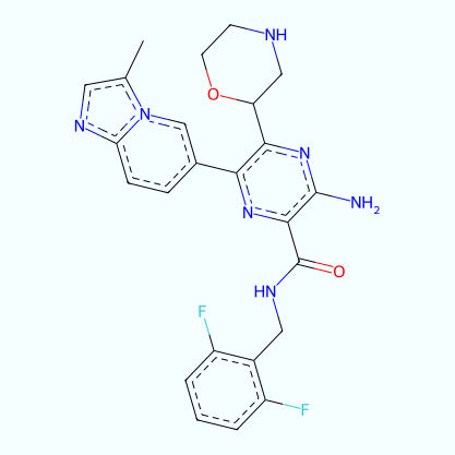 Cc1cnc2ccc(-c3nc(C(=O)NCc4c(F)cccc4F)c(N)nc3C3CNCCO3)cn12